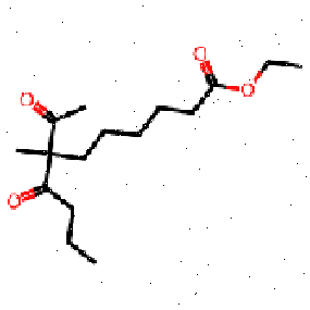 CCCC(=O)C(C)(CCCCCC(=O)OCC)C(C)=O